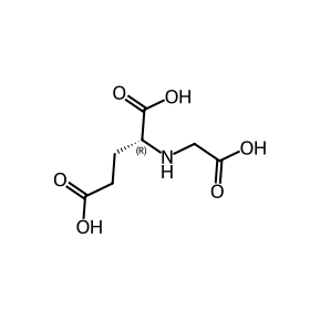 O=C(O)CC[C@@H](NCC(=O)O)C(=O)O